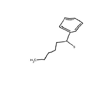 CCCCCC(F)c1ccccc1